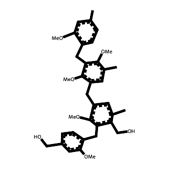 COc1cc(CO)ccc1Cc1c(CO)c(C)cc(Cc2cc(C)c(OC)c(Cc3ccc(C)cc3OC)c2OC)c1OC